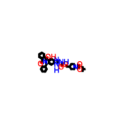 CC(C)(C)OC(=O)N1CCC(COC(=O)Nc2nc3cc(C4(O)c5ccccc5C(=O)N4Cc4ccccc4)ccc3[nH]2)CC1